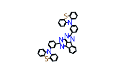 c1cc(-c2nc3c4c(nc(-c5cccc(N6c7ccccc7Sc7ccccc76)c5)nc4n2)-c2ccccc2-3)cc(N2c3ccccc3Sc3ccccc32)c1